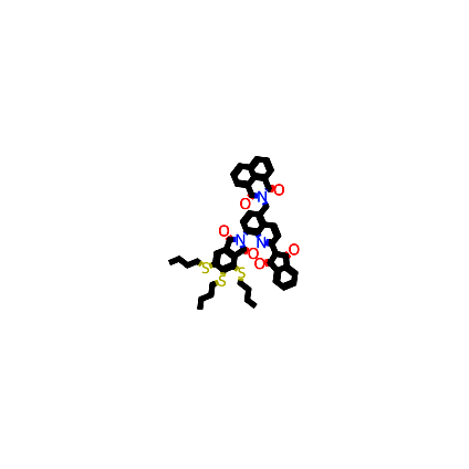 CCCCSc1cc2c(c(SCCCC)c1SCCCC)C(=O)N(c1ccc(CN3C(=O)c4cccc5cccc(c45)C3=O)c3ccc(C4C(=O)c5ccccc5C4=O)nc13)C2=O